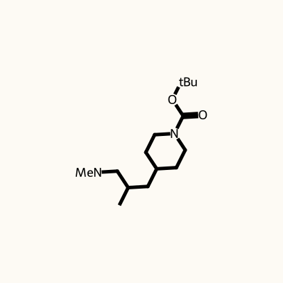 CNCC(C)CC1CCN(C(=O)OC(C)(C)C)CC1